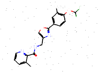 Cc1cccnc1C(=O)NCc1coc(-c2ccc(OC(F)F)c(OCC(C)C)c2)n1